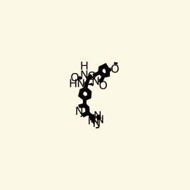 COc1ccc2c(c1)C(=O)N(C[C@@]1(c3ccc(-c4cncc(-c5nnn(C)n5)c4)cc3)NC(=O)NC1=O)C2